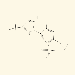 Nc1nc(C(F)(F)F)nn1-c1cc(S(=O)(=O)F)c(C2CC2)cc1F